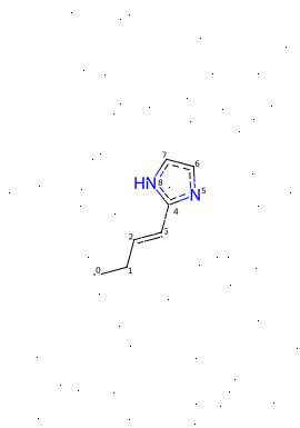 [CH2]CC=Cc1ncc[nH]1